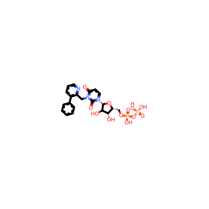 O=c1ccn([C@@H]2O[C@H](COP(=O)(O)OP(=O)(O)O)[C@H](O)C2O)c(=O)n1Cc1ncccc1-c1ccccc1